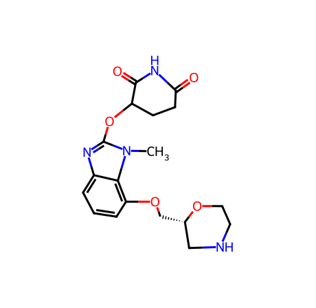 Cn1c(OC2CCC(=O)NC2=O)nc2cccc(OC[C@H]3CNCCO3)c21